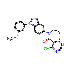 O=C1c2c(Cl)ncnc2OCCN1c1ccc2c(ccn2-c2cccc(OC(F)(F)F)c2)c1